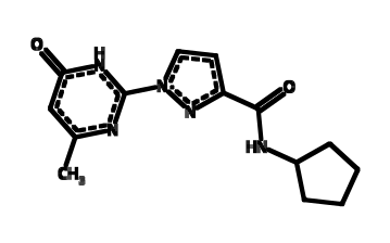 Cc1cc(=O)[nH]c(-n2ccc(C(=O)NC3CCCC3)n2)n1